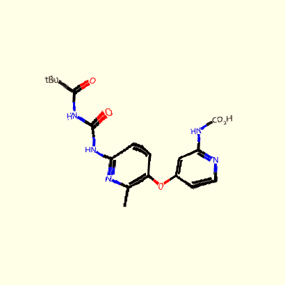 Cc1nc(NC(=O)NC(=O)C(C)(C)C)ccc1Oc1ccnc(NC(=O)O)c1